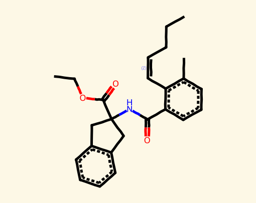 CCC/C=C\c1c(C)cccc1C(=O)NC1(C(=O)OCC)Cc2ccccc2C1